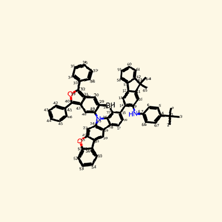 CC(C)(C)c1ccc(Nc2cc3c(cc2-c2ccc4c5cc6c(cc5n5c4c2Bc2cc4c(-c7ccccc7)oc(-c7ccccc7)c4cc2-5)oc2ccccc26)-c2ccccc2C3(C)C)cc1